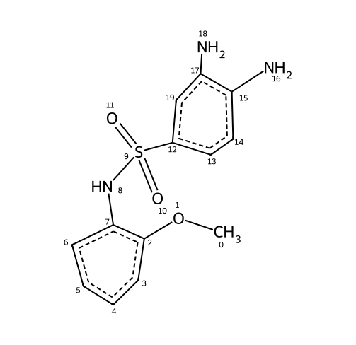 COc1ccccc1NS(=O)(=O)c1ccc(N)c(N)c1